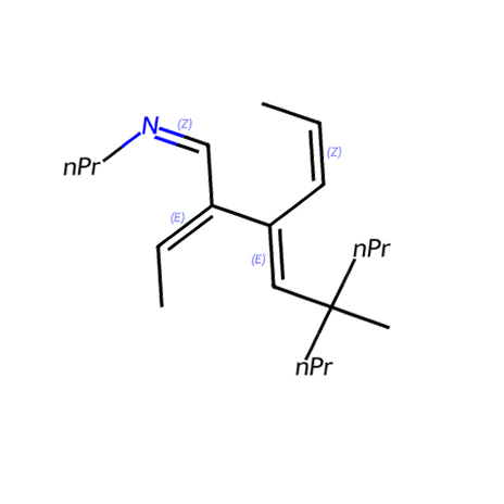 C\C=C/C(=C\C(C)(CCC)CCC)C(/C=N\CCC)=C\C